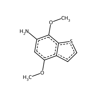 COc1cc(N)c(OC)c2sccc12